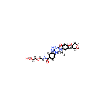 Cn1c(Nc2nc3ccc(OC4CCOCC4)cc3o2)nc2cc(C(=O)NCCOCCO)ccc21